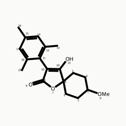 COC1CCC2(CC1)OC(=O)C(c1c(C)cc(C)cc1C)=C2O